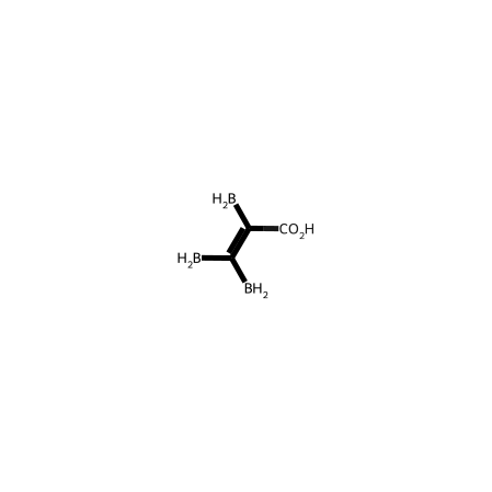 BC(B)=C(B)C(=O)O